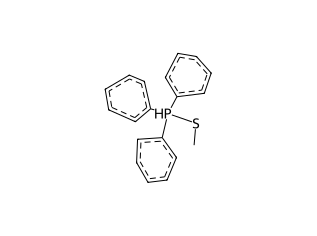 CS[PH](c1ccccc1)(c1ccccc1)c1ccccc1